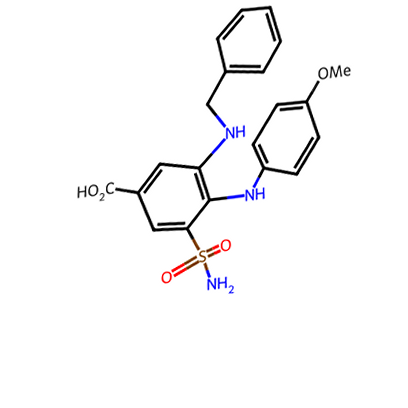 COc1ccc(Nc2c(NCc3ccccc3)cc(C(=O)O)cc2S(N)(=O)=O)cc1